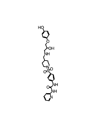 O=C(Nc1ccc(S(=O)(=O)N2CCC(CNCC(O)COc3ccc(O)cc3)CC2)cc1)Nc1ccccn1